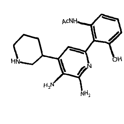 CC(=O)Nc1cccc(O)c1-c1cc(C2CCCNC2)c(N)c(N)n1